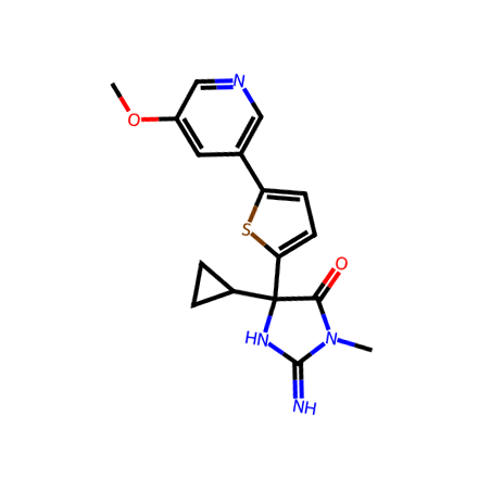 COc1cncc(-c2ccc(C3(C4CC4)NC(=N)N(C)C3=O)s2)c1